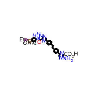 CCP(CSc1ccc(NC(=O)c2nc(-c3ccc(CCc4ccc(-c5cnc(N)c(C(=O)O)n5)cc4)cc3)cnc2N)cc1)OC